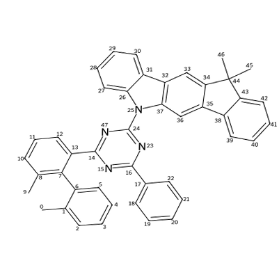 Cc1ccccc1-c1c(C)cccc1-c1nc(-c2ccccc2)nc(-n2c3ccccc3c3cc4c(cc32)-c2ccccc2C4(C)C)n1